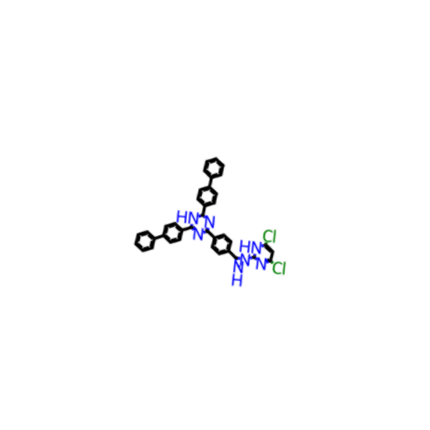 ClC1=CC(Cl)=NC(N2NC2c2ccc(C3=NC(c4ccc(-c5ccccc5)cc4)NC(c4ccc(-c5ccccc5)cc4)=N3)cc2)N1